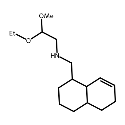 CCOC(CNCC1CCCC2CCC=CC21)OC